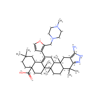 CN1CCN(Cc2occc2C2=C3C4CC(C)(C)CCC4(C(=O)O)CCC3(C)C3(C)CCC4C(C)(C)c5n[nH]c(N)c5CC4(C)C3C2)CC1